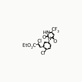 CCOC(=O)C(Cl)=Cc1cc(-n2c(=O)cc(C(F)(F)F)[nH]c2=O)ccc1Cl